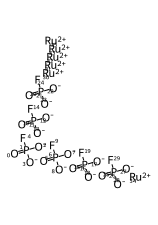 O=P([O-])([O-])F.O=P([O-])([O-])F.O=P([O-])([O-])F.O=P([O-])([O-])F.O=P([O-])([O-])F.O=P([O-])([O-])F.[Ru+2].[Ru+2].[Ru+2].[Ru+2].[Ru+2].[Ru+2]